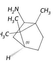 CC12CC[C@@H](CC1N)C2(C)C